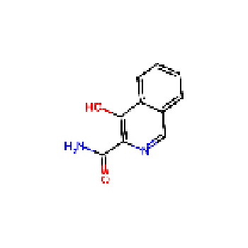 NC(=O)c1ncc2ccccc2c1O